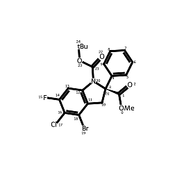 COC(=O)[C@@]1(c2ccccc2)Cc2c(cc(F)c(Cl)c2Br)N1C(=O)OC(C)(C)C